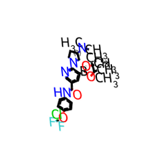 CN(C)[C@@H]1CCN(c2ncc(C(=O)Nc3ccc(OC(F)(F)Cl)cc3)cc2B2OC(C)(C)C(C)(C)O2)C1